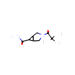 CC(C)(C)C(=O)N1CC2C(C1)C2C(N)=O